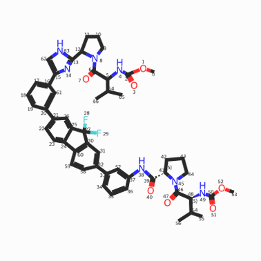 COC(=O)NC(C(=O)N1CCCC1c1nc(-c2cccc(-c3ccc4c(c3)C(F)(F)c3cc(-c5cccc(NC(=O)[C@@H]6CCCN6C(=O)[C@@H](NC(=O)OC)C(C)C)c5)ccc3-4)c2)c[nH]1)C(C)C